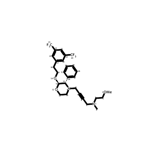 COCCN(C)CC#CCN1CCO[C@@H](OCCc2cc(C(F)(F)F)cc(C(F)(F)F)c2)[C@@H]1c1ccccc1